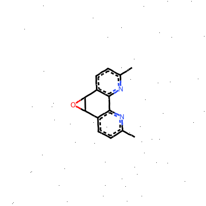 Cc1ccc2c(n1)-c1nc(C)ccc1C1OC21